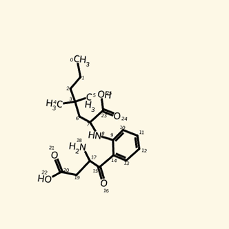 CCCC(C)(C)CC(Nc1ccccc1C(=O)C(N)CC(=O)O)C(=O)O